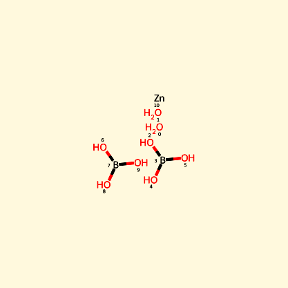 O.O.OB(O)O.OB(O)O.[Zn]